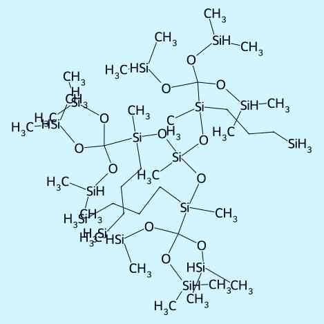 C[SiH](C)OC(O[SiH](C)C)(O[SiH](C)C)[Si](C)(CCC[SiH3])O[Si](C)(O[Si](C)(CCC[SiH3])C(O[SiH](C)C)(O[SiH](C)C)O[SiH](C)C)O[Si](C)(CCC[SiH3])C(O[SiH](C)C)(O[SiH](C)C)O[SiH](C)C